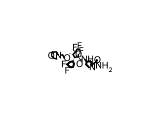 C[C@H]1[C@@H](c2ccc(F)c(F)c2OCCN2CCOCC2)[C@H](C(=O)Nc2ccnc(C(N)=O)c2)O[C@@]1(C)C(F)(F)F